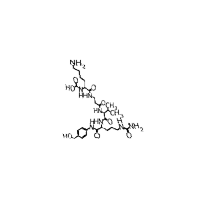 CC(C)[C@H](NC(=O)CCNC(=O)[C@H](CCCCN)NC(=O)O)C(=O)N[C@@H](CCCNC(N)=O)C(=O)Nc1ccc(CO)cc1